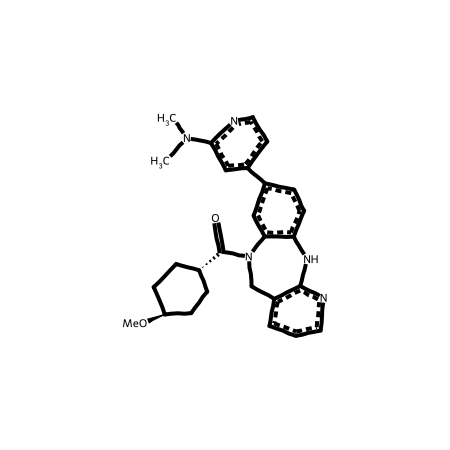 CO[C@H]1CC[C@H](C(=O)N2Cc3cccnc3Nc3ccc(-c4ccnc(N(C)C)c4)cc32)CC1